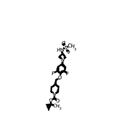 CC1(OC(=O)N2CCC(COc3c(F)cc(N4CC(NS(C)(=O)=O)C4)cc3F)CC2)CC1